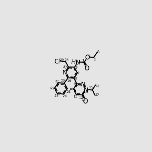 CCOC(=O)Nc1cc(-c2ccc(=O)n(C(C)C)n2)c(-c2ccccc2)nc1CCl